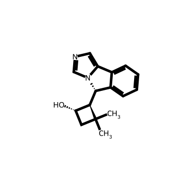 CC1(C)C[C@H](O)[C@H]1[C@H]1c2ccccc2-c2cncn21